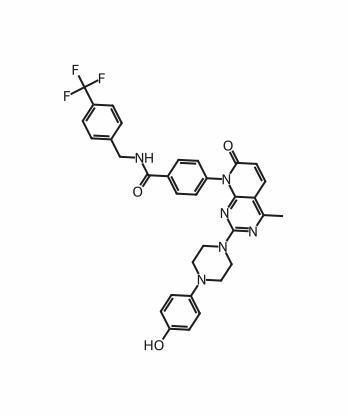 Cc1nc(N2CCN(c3ccc(O)cc3)CC2)nc2c1ccc(=O)n2-c1ccc(C(=O)NCc2ccc(C(F)(F)F)cc2)cc1